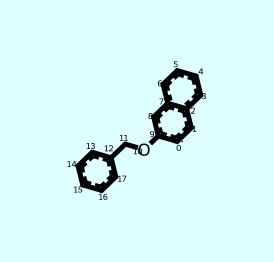 [c]1cc2ccccc2cc1OCc1ccccc1